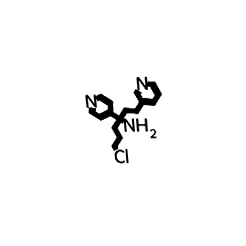 NC(CCCCl)(CCc1cccnc1)c1ccncc1